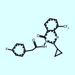 O=C(Cc1ccc(F)cc1)Nn1c(C2CC2)nc2c(C(F)(F)F)cccc2c1=O